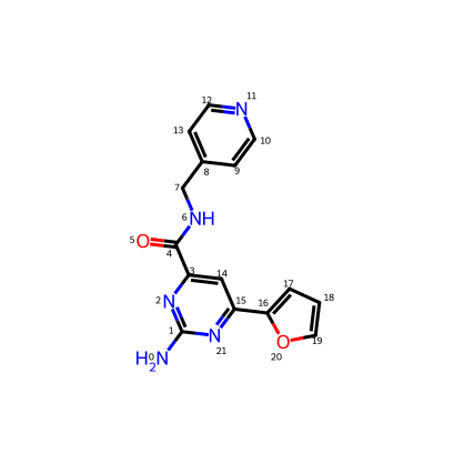 Nc1nc(C(=O)NCc2ccncc2)cc(-c2ccco2)n1